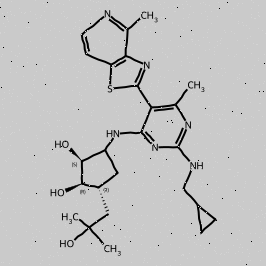 Cc1nc(NCC2CC2)nc(NC2C[C@H](CC(C)(C)O)[C@@H](O)[C@H]2O)c1-c1nc2c(C)nccc2s1